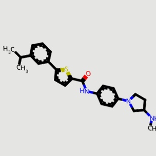 CNC1CCN(c2ccc(NC(=O)c3ccc(-c4cccc(C(C)C)c4)s3)cc2)C1